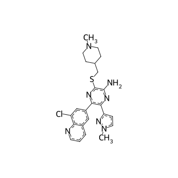 CN1CCC(CSc2nc(-c3cc(Cl)c4ncccc4c3)c(-c3ccn(C)n3)nc2N)CC1